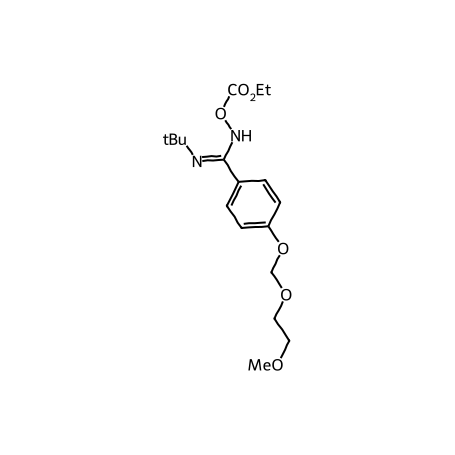 CCOC(=O)ONC(=NC(C)(C)C)c1ccc(OCOCCOC)cc1